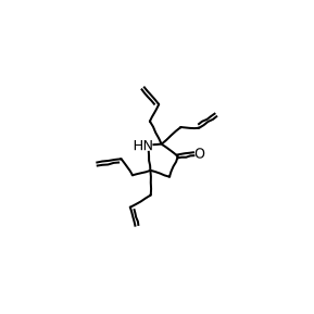 C=CCC1(CC=C)CC(=O)C(CC=C)(CC=C)N1